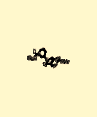 CSc1ncc2c(n1)CN(C1CCCN(C(=O)OC(C)(C)C)C1)C2=O